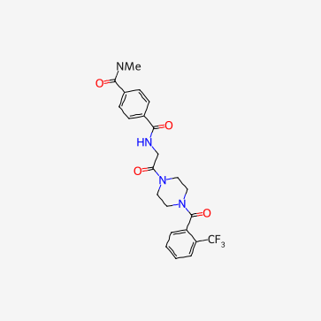 CNC(=O)c1ccc(C(=O)NCC(=O)N2CCN(C(=O)c3ccccc3C(F)(F)F)CC2)cc1